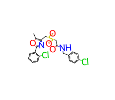 Cc1oc(-c2ccccc2Cl)nc1CS(=O)(=O)CC(=O)NCc1ccc(Cl)cc1